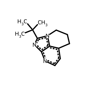 CC(C)(C)c1nc2nccc3c2n1CCC3